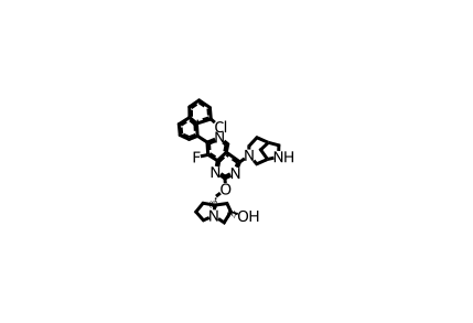 O[C@H]1CN2CCC[C@@]2(COc2nc(N3CCC4CNC(C4)C3)c3cnc(-c4cccc5cccc(Cl)c45)c(F)c3n2)C1